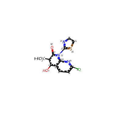 O=C(O)c1c(O)c2ccc(Cl)nc2n(-c2nccs2)c1=O